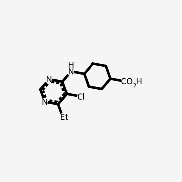 CCc1ncnc(NC2CCC(C(=O)O)CC2)c1Cl